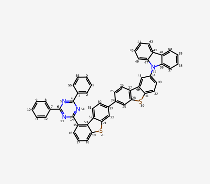 c1ccc(-c2nc(-c3ccccc3)nc(-c3cccc4sc5cc(-c6ccc7c(c6)sc6ccc(-n8c9ccccc9c9ccccc98)cc67)ccc5c34)n2)cc1